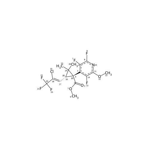 COC(=O)[C@]1(c2c(F)c(F)nc(OC)c2F)[C@H](C=C(Cl)C(F)(F)F)C1(C)C